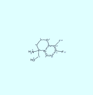 NC1(CO)CCOc2c1ccc(F)c2F